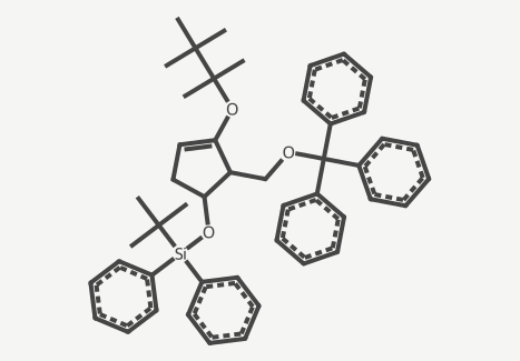 CC(C)(C)C(C)(C)OC1=CCC(O[Si](c2ccccc2)(c2ccccc2)C(C)(C)C)C1COC(c1ccccc1)(c1ccccc1)c1ccccc1